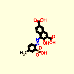 Cc1ccc(N=Nc2c(O)c(C(=O)O)cc3cc(C(=O)O)ccc23)c(S(=O)(=O)O)c1